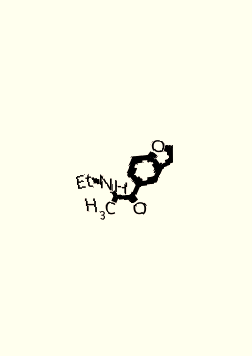 CCNC(C)C(=O)c1ccc2occc2c1